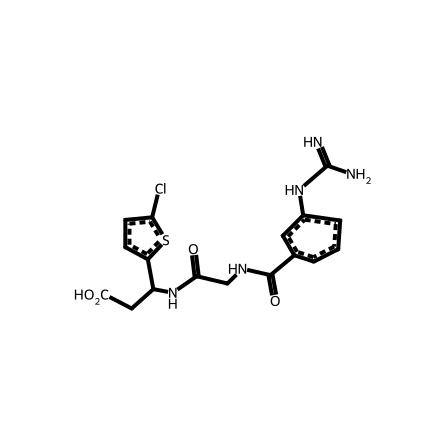 N=C(N)Nc1cccc(C(=O)NCC(=O)NC(CC(=O)O)c2ccc(Cl)s2)c1